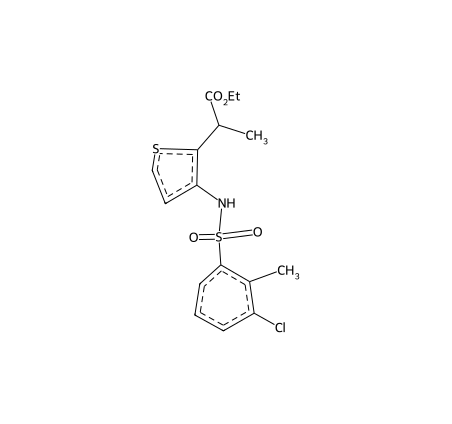 CCOC(=O)C(C)c1sccc1NS(=O)(=O)c1cccc(Cl)c1C